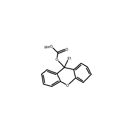 CCC1(OC(=O)OC)c2ccccc2Oc2ccccc21